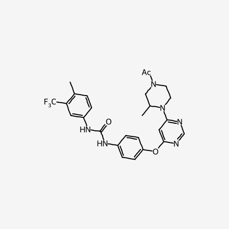 CC(=O)N1CCN(c2cc(Oc3ccc(NC(=O)Nc4ccc(C)c(C(F)(F)F)c4)cc3)ncn2)C(C)C1